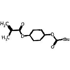 C=C(C)C(=O)OC1CCC(OC(=O)C(C)(C)C)CC1